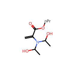 C=C(C(=O)OCCC)N(C(C)O)C(C)O